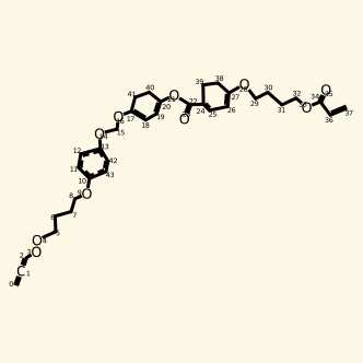 C=C=COOCCCCOc1ccc(OCOC2=CC=C(OC(=O)C3=CC=C(OCCCCOC(=O)C=C)CC3)CC2)cc1